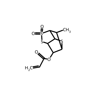 C=CC(=O)OC1C2SC3C1SS(=O)(=O)C3C2C